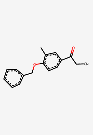 Cc1cc(C(=O)CC#N)ccc1OCc1ccccc1